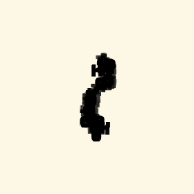 CC(NC(=O)OC(C)(C)C)c1cccc(OCCCCN2CCN(c3ccc4c(c3)CN(C3CCC(=O)NC3=O)C4=O)CC2)c1